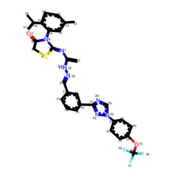 C=C(/N=C1\SCC(=O)N1c1cc(C)ccc1C(C)C)N/N=C/c1cccc(-c2ncn(-c3ccc(OC(F)(F)F)cc3)n2)c1